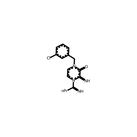 CCCC(=N)n1ccn(Cc2cccc(Cl)c2)c(=O)c1=N